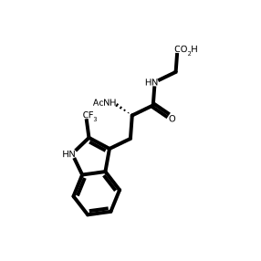 CC(=O)N[C@@H](Cc1c(C(F)(F)F)[nH]c2ccccc12)C(=O)NCC(=O)O